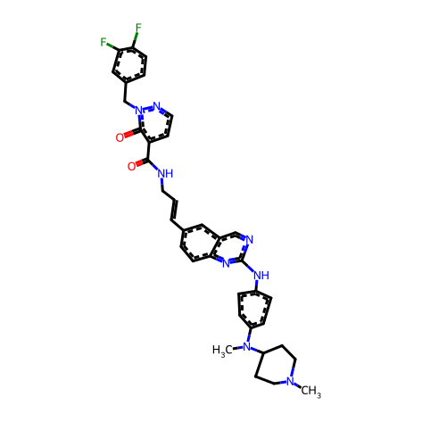 CN1CCC(N(C)c2ccc(Nc3ncc4cc(C=CCNC(=O)c5ccnn(Cc6ccc(F)c(F)c6)c5=O)ccc4n3)cc2)CC1